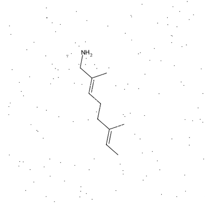 C/C=C(\C)CC/C=C(\C)CN